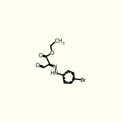 CCOC(=O)/C(C=O)=N/Nc1ccc(Br)cc1